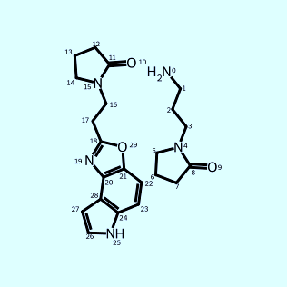 NCCCN1CCCC1=O.O=C1CCCN1CCc1nc2c(ccc3[nH]ccc32)o1